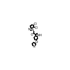 O=C(Cn1cnc2ccc(Cl)c(Cl)c21)c1c[nH]c2cc(Oc3cccnc3)ccc12